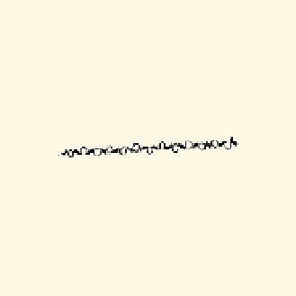 [CH2]COCCOCCOCCOCCOCCOCCOCCOCCOCCOCCOCCOCCOC(=C)C